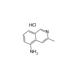 Cc1cc2c(N)cccc2cn1.Cl